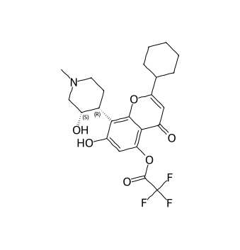 CN1CC[C@H](c2c(O)cc(OC(=O)C(F)(F)F)c3c(=O)cc(C4CCCCC4)oc23)[C@H](O)C1